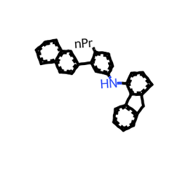 CCCc1ccc(Nc2cccc3c2-c2ccccc2C3)cc1-c1ccc2ccccc2c1